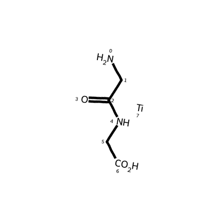 NCC(=O)NCC(=O)O.[Ti]